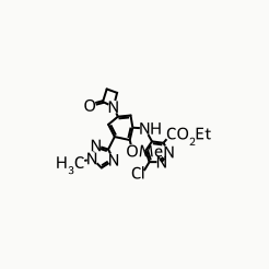 CCOC(=O)c1nnc(Cl)cc1Nc1cc(N2CCC2=O)cc(-c2ncn(C)n2)c1OC